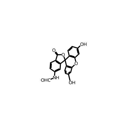 O=[C]Nc1ccc2c(c1)C1(OC2=O)c2ccc(O)cc2Oc2cc(O)ccc21